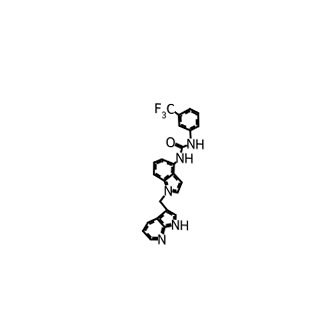 O=C(Nc1cccc(C(F)(F)F)c1)Nc1cccc2c1ccn2Cc1c[nH]c2ncccc12